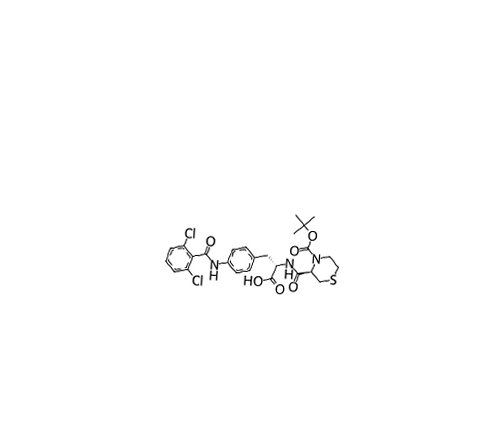 CC(C)(C)OC(=O)N1CCSC[C@H]1C(=O)N[C@@H](Cc1ccc(NC(=O)c2c(Cl)cccc2Cl)cc1)C(=O)O